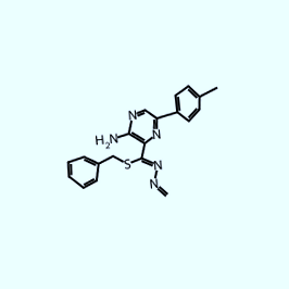 C=N/N=C(\SCc1ccccc1)c1nc(-c2ccc(C)cc2)cnc1N